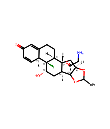 CCCC1O[C@@H]2C[C@H]3[C@@H]4CCC5=CC(=O)C=C[C@]5(C)[C@@]4(F)[C@@H](O)C[C@]3(C)[C@]2(C(=O)CN)O1